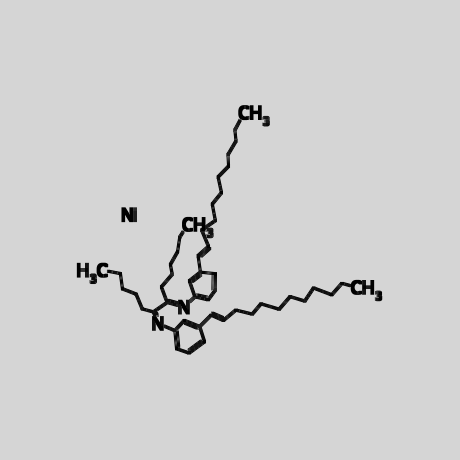 CCCCCCCCCCC=Cc1cccc(N=C(CCCCC)C(CCCCCC)=Nc2cccc(C=CCCCCCCCCCC)c2)c1.[Ni]